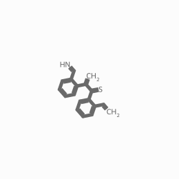 C=Cc1ccccc1C(=S)C(=C)c1ccccc1C=N